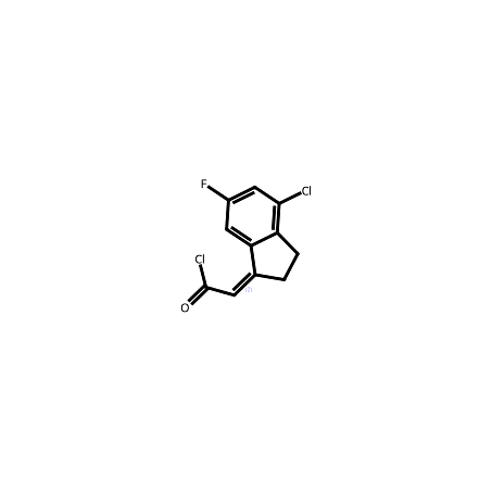 O=C(Cl)/C=C1/CCc2c(Cl)cc(F)cc21